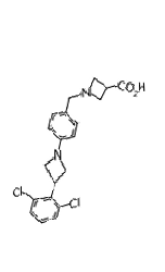 O=C(O)C1CN(Cc2ccc(N3CC(c4c(Cl)cccc4Cl)C3)cc2)C1